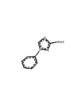 CCCCCc1ncn(-c2ccccc2)n1